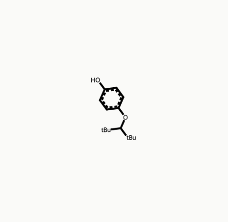 CC(C)(C)C(Oc1ccc(O)cc1)C(C)(C)C